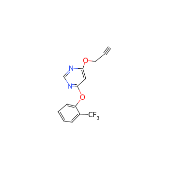 C#CCOc1cc(Oc2ccccc2C(F)(F)F)ncn1